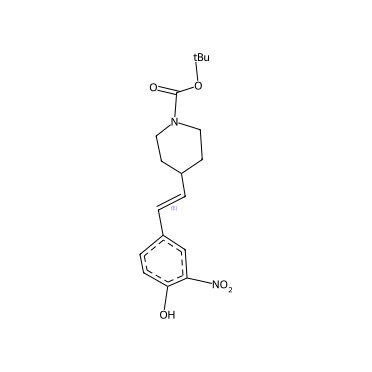 CC(C)(C)OC(=O)N1CCC(/C=C/c2ccc(O)c([N+](=O)[O-])c2)CC1